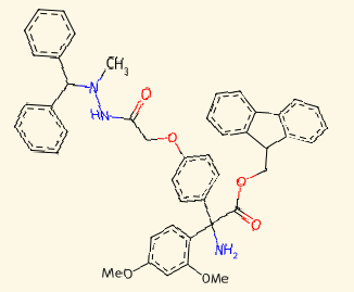 COc1ccc(C(N)(C(=O)OCC2c3ccccc3-c3ccccc32)c2ccc(OCC(=O)NN(C)C(c3ccccc3)c3ccccc3)cc2)c(OC)c1